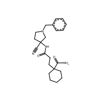 N#CC1(NC(=O)[CH]CC2(C(N)=O)CCCCC2)CCN(Cc2ccccc2)C1